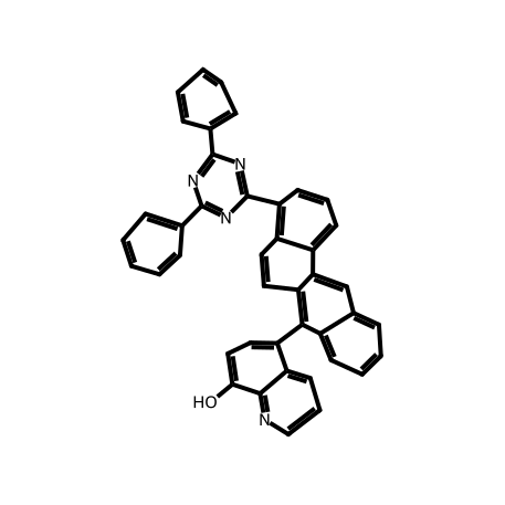 Oc1ccc(-c2c3ccccc3cc3c2ccc2c(-c4nc(-c5ccccc5)nc(-c5ccccc5)n4)cccc23)c2cccnc12